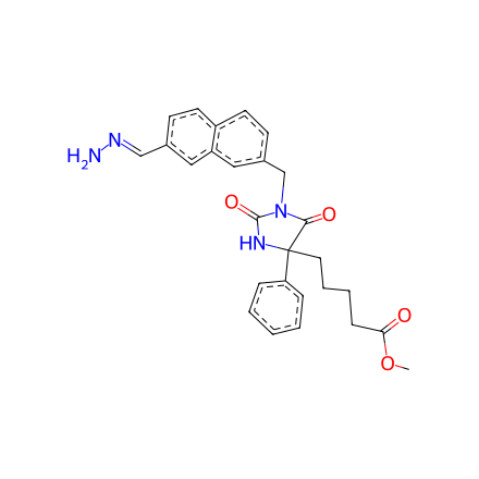 COC(=O)CCCCC1(c2ccccc2)NC(=O)N(Cc2ccc3ccc(C=NN)cc3c2)C1=O